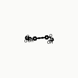 O=C(c1ccc(C#CC#Cc2ccc(NCc3occc(=O)c3O)cc2)cc1)N1CCC[C@H]1CO